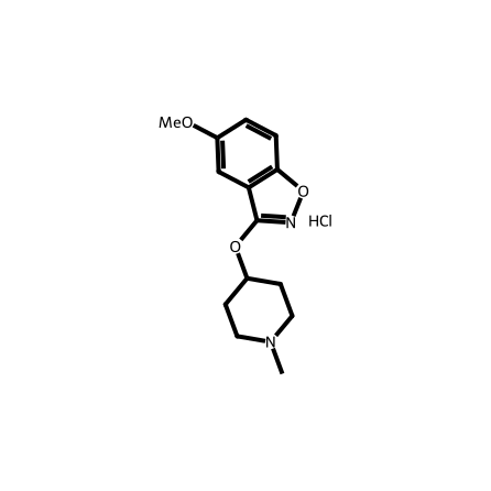 COc1ccc2onc(OC3CCN(C)CC3)c2c1.Cl